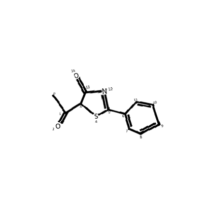 CC(=O)C1SC(c2ccccc2)=NC1=O